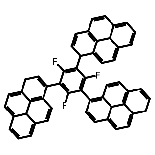 Fc1c(C2=CCC3=CC=C4C=CC=C5C=CC2=C3C54)c(F)c(C2C=CC3=C4C2=CC=C2C=CC=C(C=C3)C24)c(F)c1C1=C2C=CC3=C4C(=CC=C(C=C1)C24)CC=C3